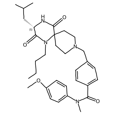 CCCCN1C(=O)[C@H](CC(C)C)NC(=O)C12CCN(Cc1ccc(C(=O)N(C)c3ccc(OC)cc3)cc1)CC2